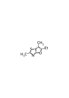 CCc1oc2nc(C)sc2c1C